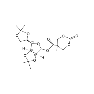 CC1(C)OCC([C@H]2OC(OC(=O)C3(C)COC(=O)OC3)[C@H]3OC(C)(C)O[C@@H]23)O1